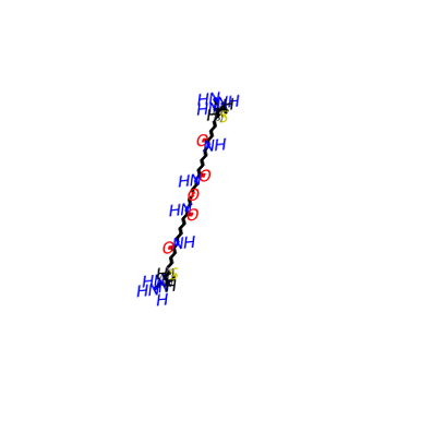 N=C1N[C@H]2[C@H](CS[C@H]2CCCCC(=O)NCCCCCC(=O)NCCOCCNC(=O)CCCCCNC(=O)CCCC[C@@H]2SC[C@@H]3NC(=N)N[C@@H]32)N1